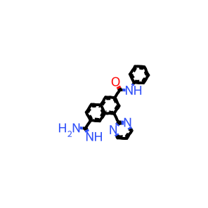 N=C(N)c1ccc2cc(C(=O)Nc3ccccc3)cc(-c3ncccn3)c2c1